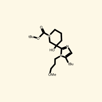 COCCCn1c(C(C)(C)C)cnc1C1(O)CCCN(C(=O)OC(C)(C)C)C1